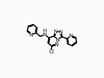 Clc1cc(NCc2ccccn2)c2nnc(-c3ccccn3)n2n1